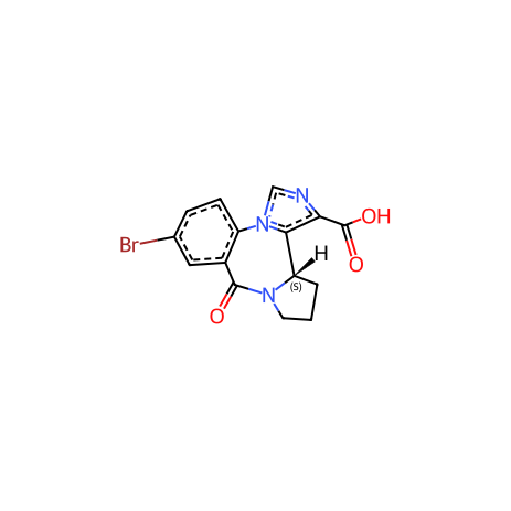 O=C(O)c1ncn2c1[C@@H]1CCCN1C(=O)c1cc(Br)ccc1-2